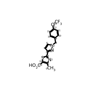 Cc1nc(-c2ccn(Cc3ccc(OC(F)(F)F)cc3)n2)sc1C(=O)O